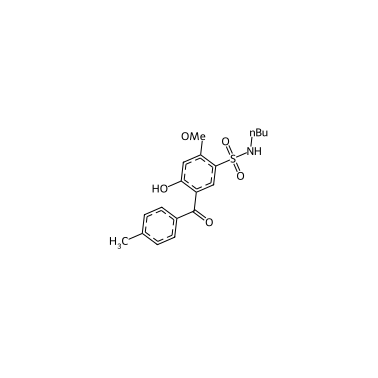 CCCCNS(=O)(=O)c1cc(C(=O)c2ccc(C)cc2)c(O)cc1OC